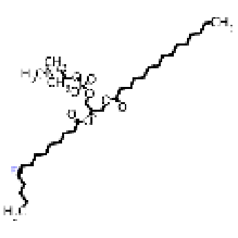 CCCC/C=C\CCCCCCCC(=O)O[C@H](COC(=O)CCCCCCCCCCCCCC)COP(=O)([O-])OCC[N+](C)(C)C